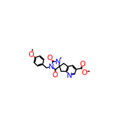 COC(=O)c1cnc2c(c1)CC1(C2)C(=O)N(Cc2ccc(OC)cc2)C(=O)N1C